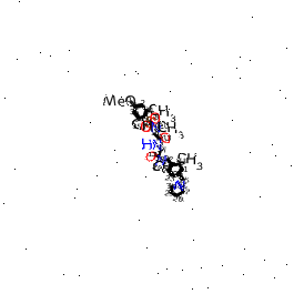 COc1cc(C)c(S(=O)(=O)N(C)CC(=O)NCC(=O)N(C)Cc2ccc(CN3CCCC3)cc2C)c(C)c1